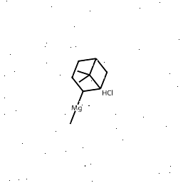 Cl.[CH3][Mg][CH]1CCC2CC1C2(C)C